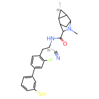 C[C@H]1C2C3CC(C21)N(C)C3C(=O)N[C@H](C#N)Cc1ccc(-c2cccc(S)c2)cc1F